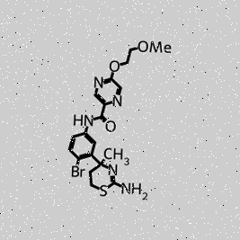 COCCOc1cnc(C(=O)Nc2ccc(Br)c(C3(C)CCSC(N)=N3)c2)cn1